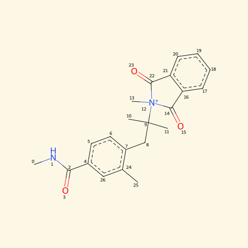 CNC(=O)c1ccc(CC(C)(C)[N+]2(C)C(=O)c3ccccc3C2=O)c(C)c1